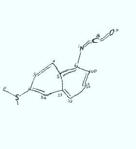 CSc1ccc2c(N=C=O)[c]ccc2c1